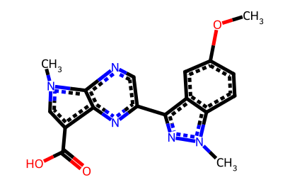 COc1ccc2c(c1)c(-c1cnc3c(n1)c(C(=O)O)cn3C)nn2C